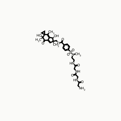 CC1=C2C(=C[C@@](C)(COC(=O)c3ccc(S(=O)(=O)N(C)CCNC(=O)CNC(=O)CNC(=O)CN)cc3)[C@@H]2O)C(=O)[C@](C)(O)C12CC2